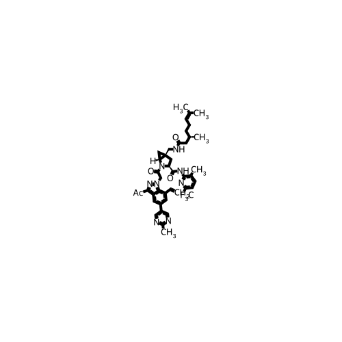 C=Cc1cc(-c2cnc(C)nc2)cc2c(C(C)=O)nn(CC(=O)N3[C@H](C(=O)Nc4nc(C(F)(F)F)ccc4C)C[C@@]4(CNC(=O)C[C@H](C)CCC=C(C)C)C[C@@H]34)c12